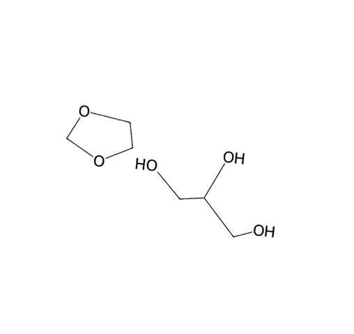 C1COCO1.OCC(O)CO